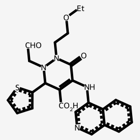 CCOCCN1C(=O)C(Nc2cncc3ccccc23)=C(C(=O)O)C(c2cccs2)N1CC=O